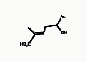 CC(=O)C(O)CC=C(C)C(=O)O